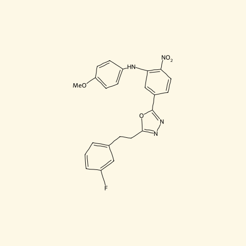 COc1ccc(Nc2cc(-c3nnc(CCc4cccc(F)c4)o3)ccc2[N+](=O)[O-])cc1